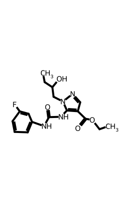 CCOC(=O)c1cnn(CC(O)CC)c1NC(=O)Nc1cccc(F)c1